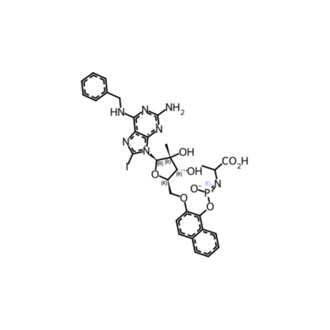 CC(/N=[P+](\[O-])Oc1c(OC[C@H]2O[C@@H](n3c(I)nc4c(NCc5ccccc5)nc(N)nc43)[C@](C)(O)[C@@H]2O)ccc2ccccc12)C(=O)O